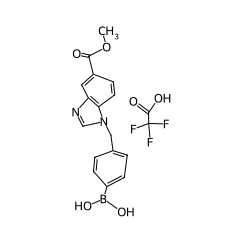 COC(=O)c1ccc2c(c1)ncn2Cc1ccc(B(O)O)cc1.O=C(O)C(F)(F)F